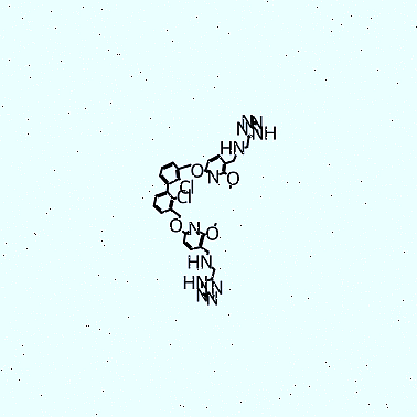 COc1nc(OCc2cccc(-c3cccc(COc4ccc(CNCc5nnn[nH]5)c(OC)n4)c3Cl)c2Cl)ccc1CNCc1nnn[nH]1